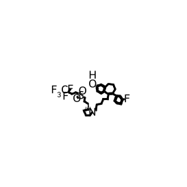 O=S(=O)(CCC[C@@H]1CCCN1CCCCCC1=C(c2cccc(F)c2)CCCc2cc(O)ccc21)CCC(F)(F)C(F)(F)F